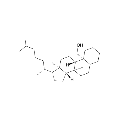 CC(C)CCC[C@@H](C)[C@H]1CC[C@H]2[C@@H]3CCC4CCCC[C@]4(CO)[C@H]3CC[C@]12C